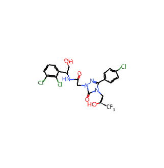 O=C(Cn1nc(-c2ccc(Cl)cc2)n(C[C@H](O)C(F)(F)F)c1=O)NC(CO)c1cccc(Cl)c1Cl